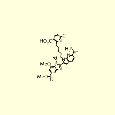 COC(=O)c1cc(OC)c2c(c1)nc(-c1cc3ccc([C@@H](C)N)nc3n1CCCCCc1nc(Cl)ccc1C(=O)O)n2C1CC1